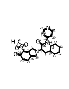 CS(=O)(=O)C1=C2CN(C(CC3CCCCC3)C(=O)Nc3ccncn3)C=C2C=CC1=O